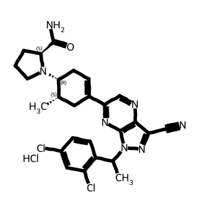 CC(c1ccc(Cl)cc1Cl)n1nc(C#N)c2ncc(C3=CC[C@@H](N4CCC[C@H]4C(N)=O)[C@@H](C)C3)nc21.Cl